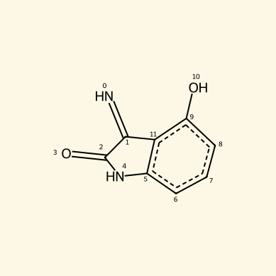 N=C1C(=O)Nc2cccc(O)c21